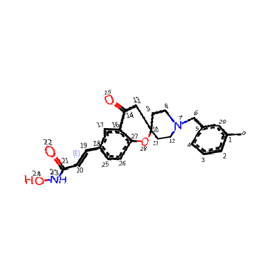 Cc1cccc(CN2CCC3(CC2)CC(=O)c2cc(/C=C/C(=O)NO)ccc2O3)c1